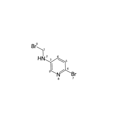 BrCNc1ccc(Br)nc1